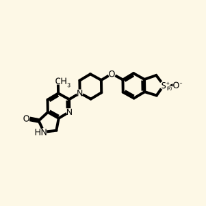 Cc1cc2c(nc1N1CCC(Oc3ccc4c(c3)C[S@@+]([O-])C4)CC1)CNC2=O